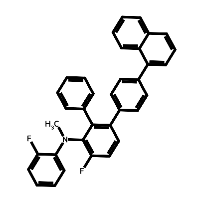 CN(c1ccccc1F)c1c(F)ccc(-c2ccc(-c3cccc4ccccc34)cc2)c1-c1ccccc1